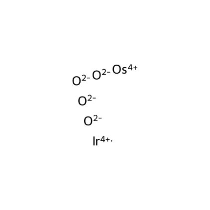 [Ir+4].[O-2].[O-2].[O-2].[O-2].[Os+4]